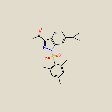 CC(=O)c1nn(S(=O)(=O)c2c(C)cc(C)cc2C)c2cc(C3CC3)ccc12